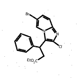 CCOC(=O)CC(c1ccccc1)c1c(Cl)nc2ccc(Br)cn12